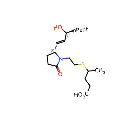 CCCCC[C@H](O)C=C[C@H]1CCC(=O)N1CCSC(C)CCC(=O)O